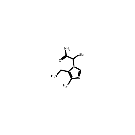 Cc1ncn(C(C(N)=O)C(C)(C)C)c1CN